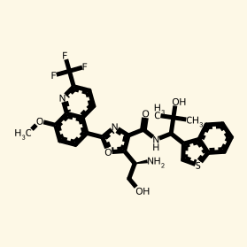 COc1ccc(-c2nc(C(=O)NC(c3csc4ccccc34)C(C)(C)O)c([C@@H](N)CO)o2)c2ccc(C(F)(F)F)nc12